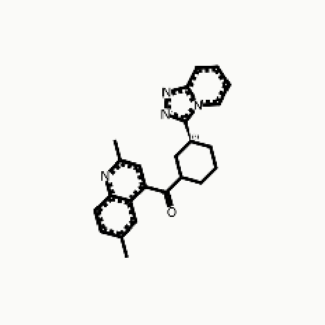 Cc1ccc2nc(C)cc(C(=O)C3CCC[C@H](c4nnc5ccccn45)C3)c2c1